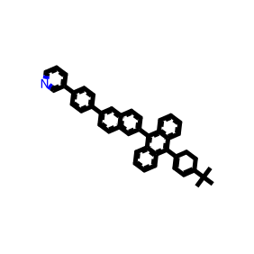 CC(C)(C)C1=CC=C(c2c3ccccc3c(-c3ccc4cc(-c5ccc(-c6cccnc6)cc5)ccc4c3)c3ccccc23)CC1